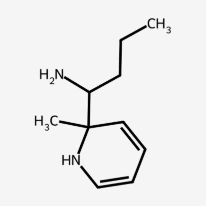 CCCC(N)C1(C)C=CC=CN1